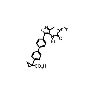 CCCOC(=O)N(CC)c1c(C)noc1-c1ccc(-c2ccc(C3(C(=O)O)CC3)cc2)cc1